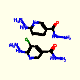 NNC(=O)c1ccc(NN)nc1.NNC(=O)c1cnc(NN)c(Cl)c1